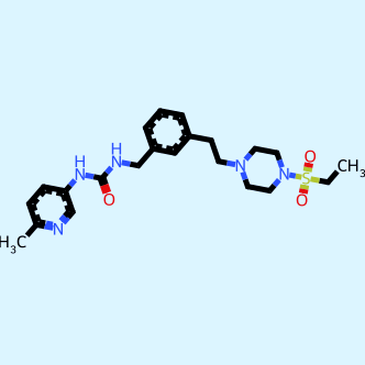 CCS(=O)(=O)N1CCN(CCc2cccc(CNC(=O)Nc3ccc(C)nc3)c2)CC1